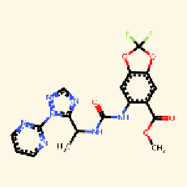 COC(=O)c1cc2c(cc1NC(=O)NC(C)c1ncnn1-c1ncccn1)OC(F)(F)O2